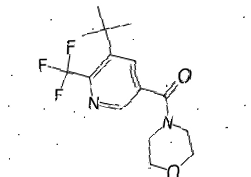 CC(C)(C)c1cc(C(=O)N2CCOCC2)cnc1C(F)(F)F